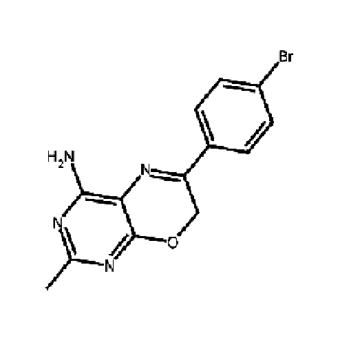 Cc1nc(N)c2c(n1)OCC(c1ccc(Br)cc1)=N2